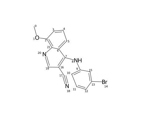 COc1cccc2c(Nc3cccc(Br)c3)c(C#N)cnc12